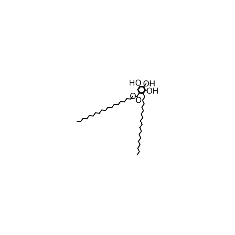 CCCCCCCCCCCCCCCCCCOC(=O)c1cc(O)c(O)c(O)c1CCCCCCCCCCCCCCCCCC